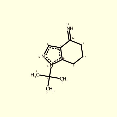 CC(C)(C)n1ncc2c1CCCC2=N